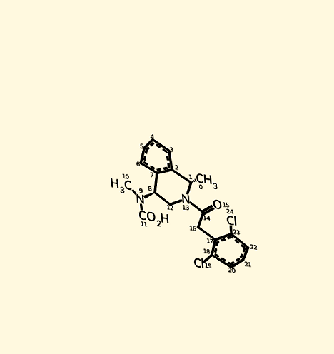 C[C@H]1c2ccccc2[C@H](N(C)C(=O)O)CN1C(=O)Cc1c(Cl)cccc1Cl